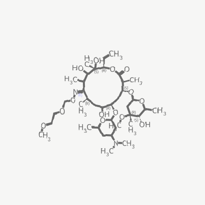 CC[C@H]1OC(=O)C(C)[C@@H](OC2C[C@@](C)(OC)[C@@H](O)C(C)O2)C[C@@H](OC2CC(N(C)C)CC(C)O2)C(O)C[C@@H](C)/C(=N\OCOCCOC)C(C)C(O)[C@]1(C)O